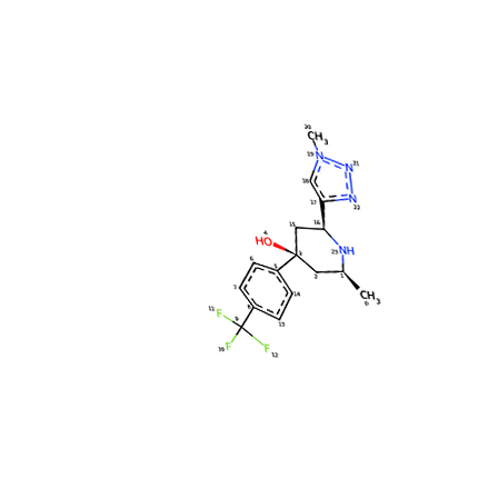 C[C@H]1C[C@](O)(c2ccc(C(F)(F)F)cc2)C[C@@H](c2cn(C)nn2)N1